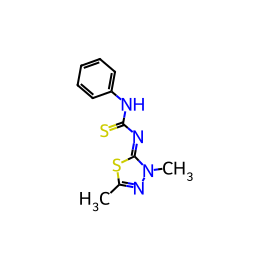 Cc1nn(C)c(=NC(=S)Nc2ccccc2)s1